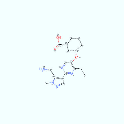 CCc1nc(-c2cnn(C)c2CN)ncc1O[C@H]1CCC[C@H](C(=O)O)C1